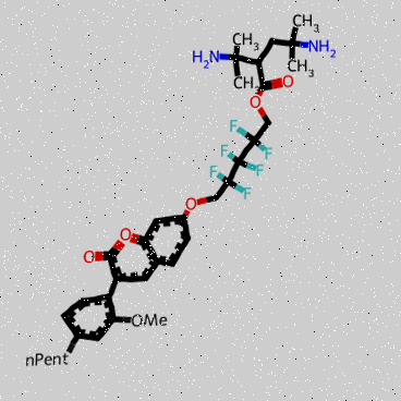 CCCCCc1ccc(-c2cc3ccc(OCC(F)(F)C(F)(F)C(F)(F)COC(=O)C(CC(C)(C)N)C(C)(C)N)cc3oc2=O)c(OC)c1